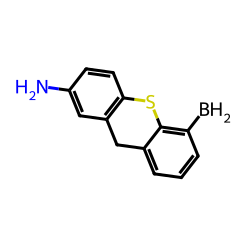 Bc1cccc2c1Sc1ccc(N)cc1C2